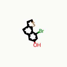 Oc1cc(Br)c2c(ccc3ccsc32)c1